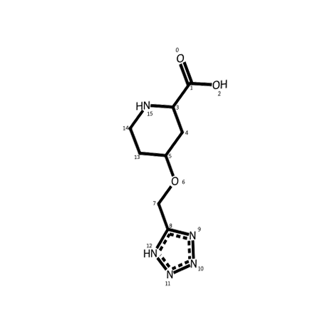 O=C(O)C1CC(OCc2nnn[nH]2)CCN1